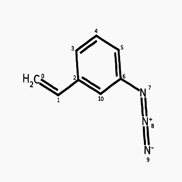 C=Cc1cccc(N=[N+]=[N-])c1